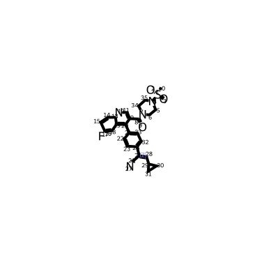 CS(=O)(=O)N1CCN(C(=O)c2cnc3ccc(F)cc3c2-c2ccc(/C(C#N)=C/C3CC3)cc2)CC1